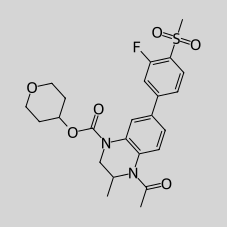 CC(=O)N1c2ccc(-c3ccc(S(C)(=O)=O)c(F)c3)cc2N(C(=O)OC2CCOCC2)CC1C